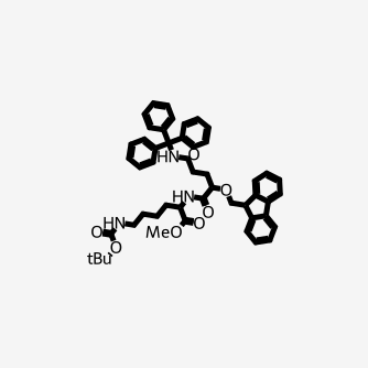 COC(=O)C(CCCCNC(=O)OC(C)(C)C)NC(=O)C(CCC(=O)NC(c1ccccc1)(c1ccccc1)c1ccccc1)OCC1c2ccccc2-c2ccccc21